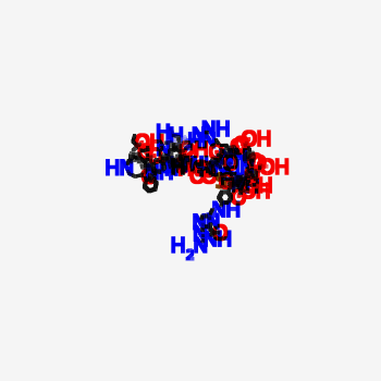 CC/C=C\[C@@]1(CC)C(O)[C@](O)(C(=O)NNC(=O)OCCSSC[C@H](NC(=O)[C@H](CC(=O)O)NC(=O)[C@H](CC(=O)O)NC(=O)[C@H](CCCNC(=N)N)NC(=O)[C@@H](CC(=O)O)NC(=O)CC[C@@H](NC(=O)c2ccc(NCc3cnc4nc(N)[nH]c(=O)c4n3)cc2)C(=O)O)C(=O)O)[C@@H]2N(C)c3cc(OC)c([C@@]4(C(=O)OC)C[C@@H](CC(O)(CC)CC)CNCCc5c4[nH]c4ccccc54)cc3[C@@]23CCNC13